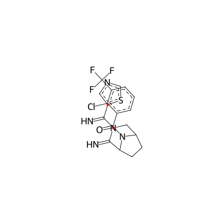 N=C(c1cncs1)N1CC2CCC(C1=N)N2C(=O)c1cccc(C(F)(F)F)c1Cl